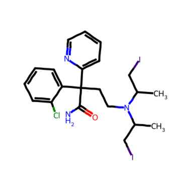 CC(CI)N(CCC(C(N)=O)(c1ccccn1)c1ccccc1Cl)C(C)CI